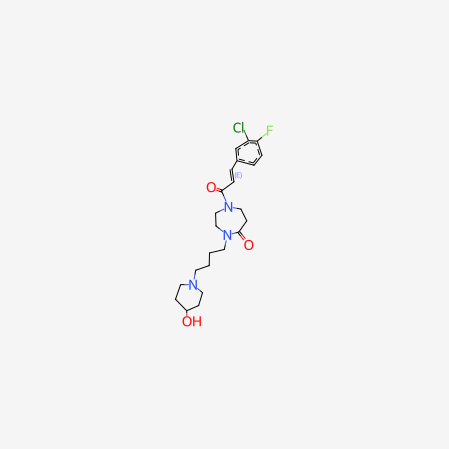 O=C(/C=C/c1ccc(F)c(Cl)c1)N1CCC(=O)N(CCCCN2CCC(O)CC2)CC1